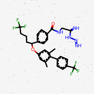 Cc1cc(OC(CCCC(F)(F)F)c2ccc(C(=O)NCC(=N)NN=N)cc2)cc(C)c1-c1ccc(C(F)(F)F)cc1